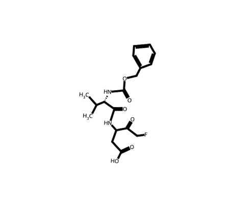 CC(C)[C@H](NC(=O)OCc1ccccc1)C(=O)NC(CC(=O)O)C(=O)CF